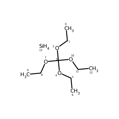 CCOC(OCC)(OCC)OCC.[SiH4]